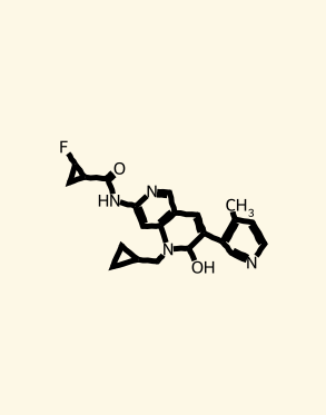 Cc1ccncc1C1=Cc2cnc(NC(=O)C3CC3F)cc2N(CC2CC2)C1O